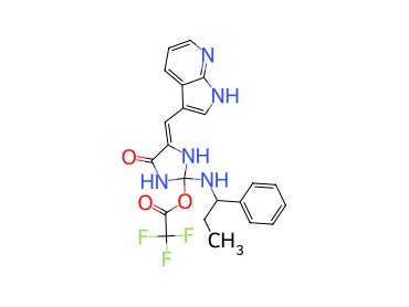 CCC(NC1(OC(=O)C(F)(F)F)NC(=O)C(=Cc2c[nH]c3ncccc23)N1)c1ccccc1